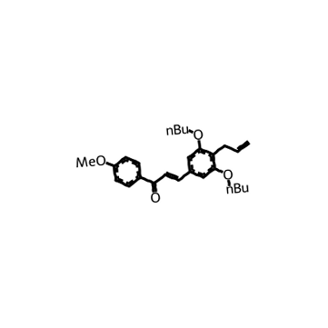 C=CCc1c(OCCCC)cc(C=CC(=O)c2ccc(OC)cc2)cc1OCCCC